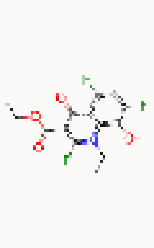 CCOC(=O)c1c(F)n(CC)c2c(OC)c(F)cc(F)c2c1=O